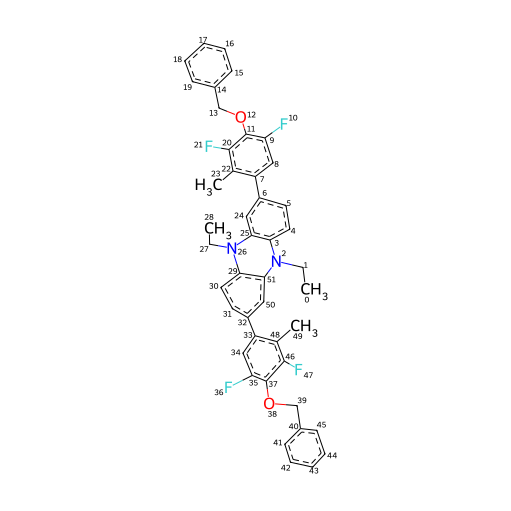 CCN1c2ccc(-c3cc(F)c(OCc4ccccc4)c(F)c3C)cc2N(CC)c2ccc(-c3cc(F)c(OCc4ccccc4)c(F)c3C)cc21